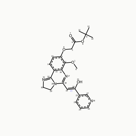 COc1c(OCC(=O)OC(C)(C)C)ccc2c1N=C(/C=C(\O)c1cccnc1)N1CCN=C21